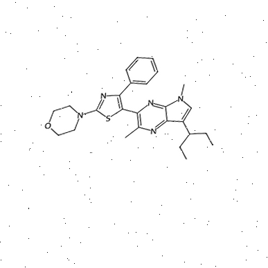 CCC(CC)c1cn(C)c2nc(-c3sc(N4CCOCC4)nc3-c3ccccc3)c(C)nc12